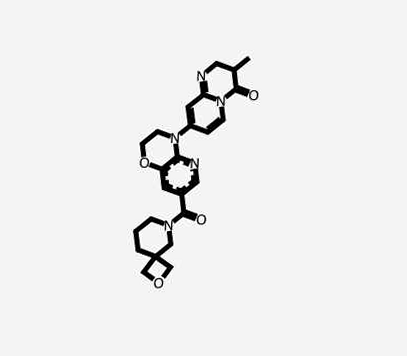 CC1CN=C2C=C(N3CCOc4cc(C(=O)N5CCCC6(COC6)C5)cnc43)C=CN2C1=O